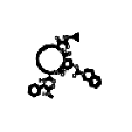 CNC(=O)[C@@H](NC(=O)[C@@H]1CCCCC/C=C\CC(C(=O)C(=O)NC2CC2)NC(=O)N2C[C@@H](OC(=O)N3CCc4ccccc4C3)C[C@@H]2C(=O)N1)C1CCCCC1